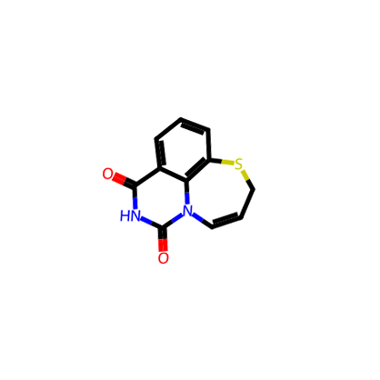 O=c1[nH]c(=O)n2c3c(cccc13)SCC=C2